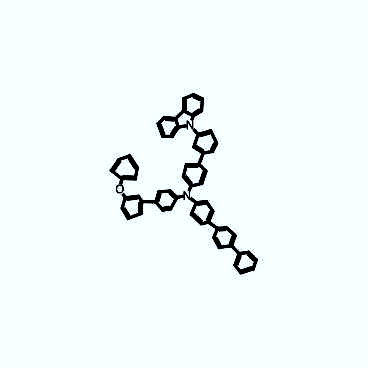 c1ccc(Oc2cccc(-c3ccc(N(c4ccc(-c5ccc(-c6ccccc6)cc5)cc4)c4ccc(-c5cccc(-n6c7ccccc7c7ccccc76)c5)cc4)cc3)c2)cc1